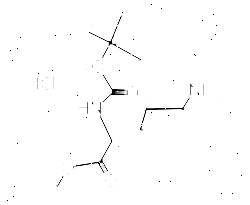 COC(=O)[C@@H](CCCN)NC(=O)OC(C)(C)C.Cl